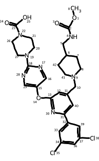 COC(=O)NCC1CCN(Cc2cc(Oc3cnc(N4CCN(C(=O)O)CC4)nc3)nc(-c3cc(Cl)cc(Cl)c3)c2)CC1